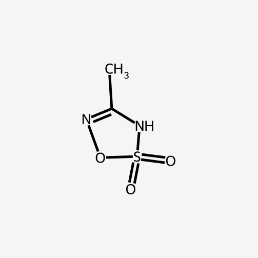 CC1=NOS(=O)(=O)N1